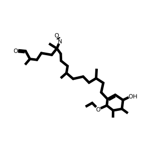 CCOC1C(CCC(C)CCCC(C)CCCC(C)(CCCC(C)C=O)N=O)=CC(O)C(C)C1C